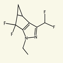 CCn1nc(C(F)F)c2c1C(F)(F)C1CC21